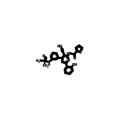 C[C@@](N)(C=O)Nc1cccc(-c2cc(-c3ccccc3O)nc(NC(=O)c3cccs3)c2C#N)c1.Cl